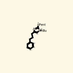 CCCCCc1nc(CCCc2ccccc2)cn1CCCC